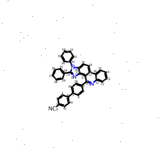 N#Cc1ccc(-c2ccc(-c3nc4ccccc4c4ccc5c(nc(-c6ccccc6)n5-c5ccccc5)c34)cc2)cc1